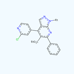 CCOC(=O)c1c(-c2ccccc2)nc2c(cnn2CC)c1-c1ccnc(Cl)c1